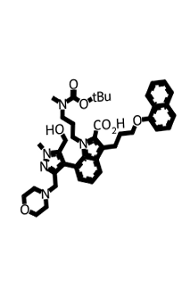 CN(CCCn1c(C(=O)O)c(CCCOc2cccc3ccccc23)c2cccc(-c3c(CN4CCOCC4)nn(C)c3CO)c21)C(=O)OC(C)(C)C